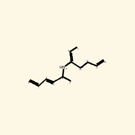 C=C/C=C/C(C)N/C(=C/C)CCC=C